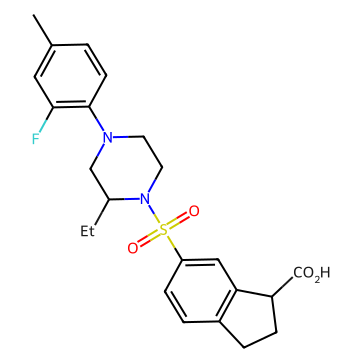 CCC1CN(c2ccc(C)cc2F)CCN1S(=O)(=O)c1ccc2c(c1)C(C(=O)O)CC2